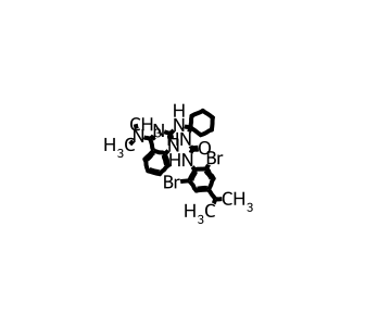 CC(C)c1cc(Br)c(NC(=O)NC2(Nc3nc(N(C)C)c4ccccc4n3)CCCCC2)c(Br)c1